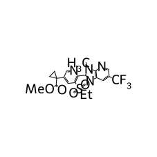 CCS(=O)(=O)c1cc(C2(C(=O)OC)CC2)cnc1-c1nc2cc(C(F)(F)F)cnc2n1C